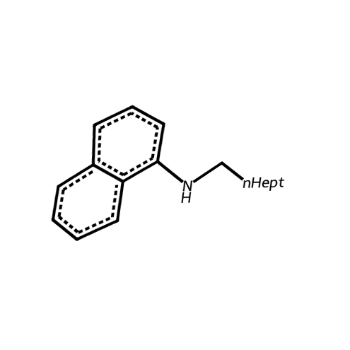 CCCCCCCCNc1cccc2ccccc12